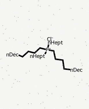 CCCCCCCCCCCCCC[P+](CCCCCCC)(CCCCCCC)CCCCCCCCCCCCCC.[Cl-]